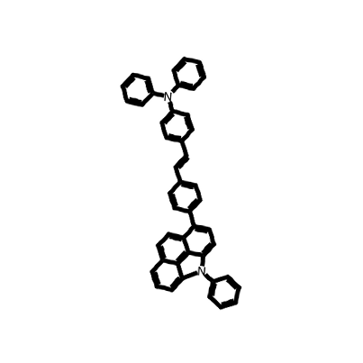 C(=C\c1ccc(N(c2ccccc2)c2ccccc2)cc1)/c1ccc(-c2ccc3c4c2ccc2cccc(c24)n3-c2ccccc2)cc1